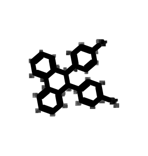 Brc1ccc(C2c3ccccc3-c3ccccc3C2c2ccc(Br)cc2)cc1